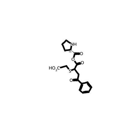 O=C(O)CSC(CC(=O)c1ccccc1)C(=O)OC(=O)[C@@H]1CCCN1